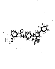 Bc1cncc(C(=O)Nc2ccc(-n3nc(-c4cccnc4)cc3C(F)(F)F)cn2)c1